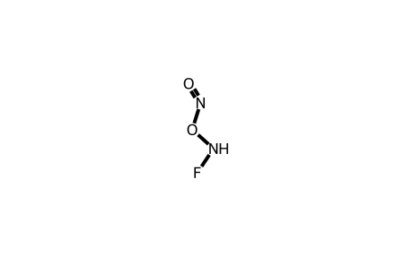 O=NONF